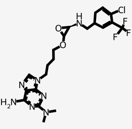 CN(C)c1nc(N)c2ncn(CCCCOC3O[C@H]3NCC3C=C(C(F)(F)F)C(Cl)=CC3)c2n1